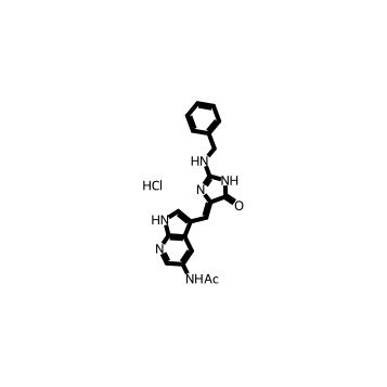 CC(=O)Nc1cnc2[nH]cc(C=C3N=C(NCc4ccccc4)NC3=O)c2c1.Cl